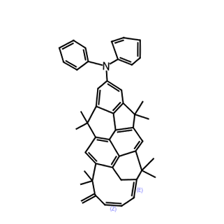 C=C1/C=C\C=C2/Cc3c(cc4c5c6c(cc(c35)C2(C)C)C(C)(C)c2cc(N(c3ccccc3)c3ccccc3)cc(c2-6)C4(C)C)C1(C)C